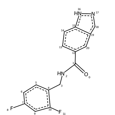 O=C(NCc1ccc(F)cc1F)c1ccc2[nH]ncc2c1